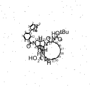 Cn1ccc(-c2cccc(C(=O)N3C[C@H]4CN5C(=O)[C@H](NC(=O)OC(C)(C)C)CCCCC/C=C\[C@H]6C[C@@]6(C(=O)O)NC(=O)[C@@H]5[C@H]4C3)c2)n1